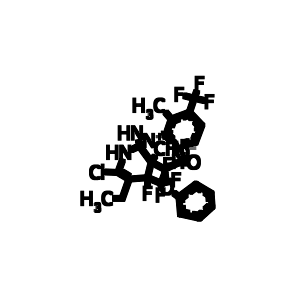 CCC1=C(Cl)NC2(N[N+]2=c2[nH]ccc(C(F)(F)F)c2C)C(C)(C(Oc2ccccc2)C(=O)[O-])C1(F)C(F)(F)F